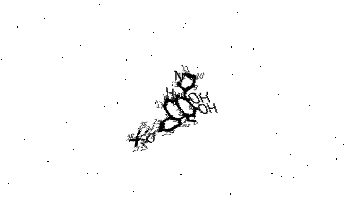 CCC12CC(O)C(O)(c3cccnc3)C[C@H]1CCc1cc(O[Si](C)(C)C(C)(C)C)ccc12